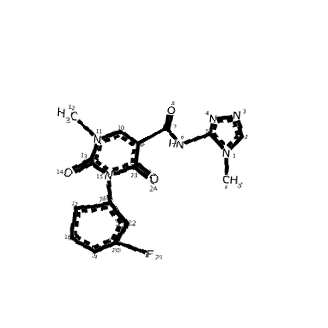 Cn1cnnc1NC(=O)c1cn(C)c(=O)n(-c2cccc(F)c2)c1=O